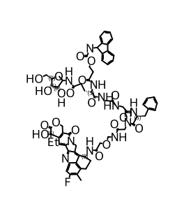 CC[C@@]1(O)C(=O)OCc2c1cc1n(c2=O)Cc2c-1nc1cc(F)c(C)c3c1c2[C@@H](NC(=O)COCNC(=O)CNC(=O)[C@H](Cc1ccccc1)NC(=O)CNC(=O)CNC(=O)[C@H](CCC(=O)NC1O[C@H](CO)[C@@H](O)[C@H]1O)NC(=O)CCOC(=O)N(C)C1c2ccccc2-c2ccccc21)CC3